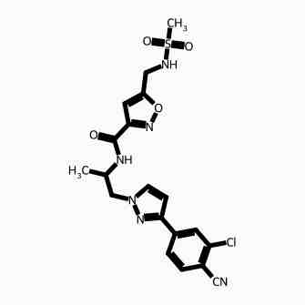 CC(Cn1ccc(-c2ccc(C#N)c(Cl)c2)n1)NC(=O)c1cc(CNS(C)(=O)=O)on1